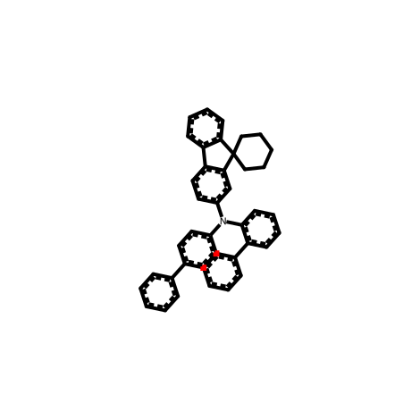 c1ccc(-c2ccc(N(c3ccc4c(c3)C3(CCCCC3)c3ccccc3-4)c3ccccc3-c3ccccc3)cc2)cc1